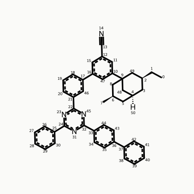 CC[C@H]1C[C@H]2C[C@@H](C)CC(c3cc(C#N)cc(-c4cccc(-c5nc(-c6ccccc6)nc(-c6ccc(-c7ccccc7)cc6)n5)c4)c3)(C2)C1